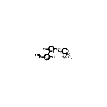 CC1(C)C[C@@H](CNc2ccc(Cl)c(-c3cc(NC=O)ncc3Cl)n2)CCO1